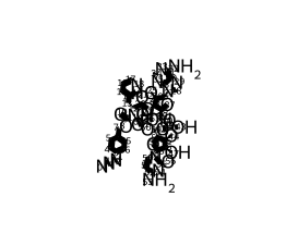 [N-]=[N+]=Nc1ccc(COC(=O)N[C@H](Cc2cccnc2)C(=O)O[C@H]2[C@@H](O)[C@H](n3cnc4c(N)ncnc43)O[C@@H]2COP(=O)(O)O[C@H]2[C@@H](O)[C@H](n3ccc(N)nc3=O)O[C@@H]2COP(=O)(O)O)cc1